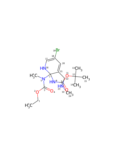 CCOC(=O)N(C)C1(NC(=O)OC(C)(C)C)NC=C(Br)C=C1CNC